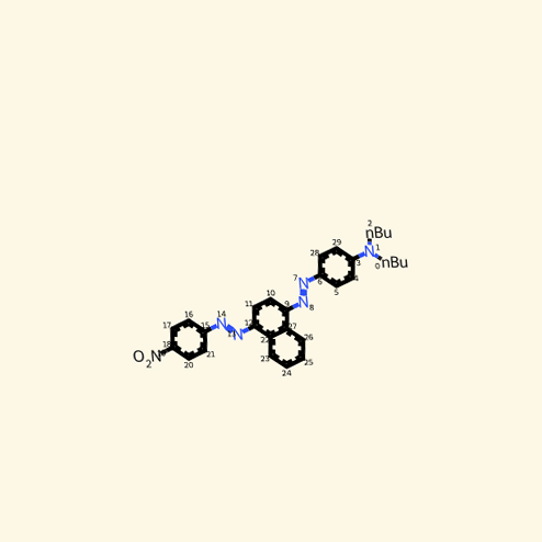 CCCCN(CCCC)c1ccc(N=Nc2ccc(N=Nc3ccc([N+](=O)[O-])cc3)c3ccccc23)cc1